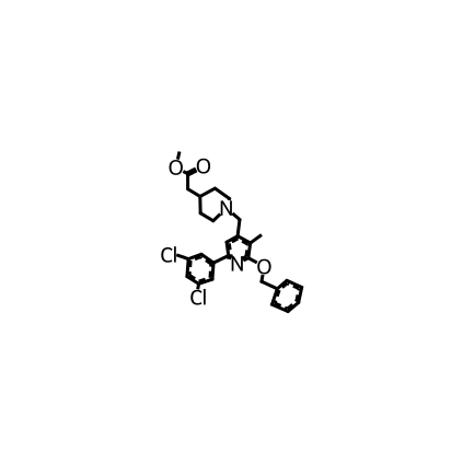 COC(=O)CC1CCN(Cc2cc(-c3cc(Cl)cc(Cl)c3)nc(OCc3ccccc3)c2C)CC1